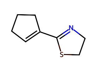 C1=C(C2=NCCS2)CCC1